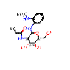 CC(C)CC(=O)N[C@H]1C(Nc2ccccc2NC(=O)O)O[C@H](CO)[C@@H](O)[C@@H]1O